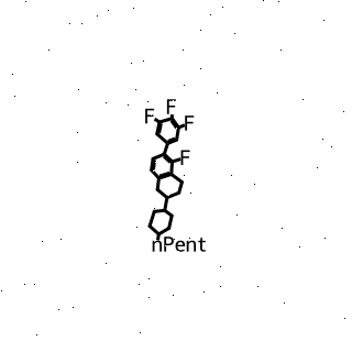 CCCCCC1CCC(C2CCc3c(ccc(-c4cc(F)c(F)c(F)c4)c3F)C2)CC1